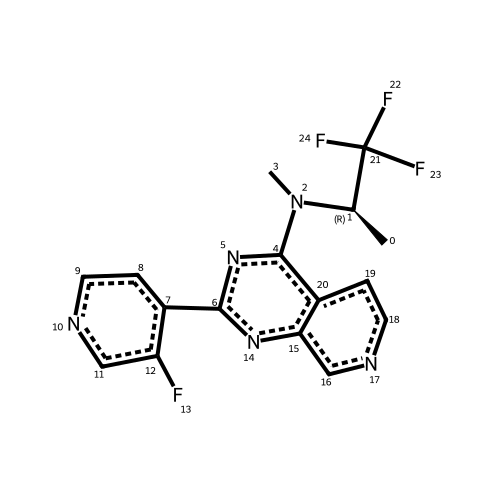 C[C@@H](N(C)c1nc(-c2ccncc2F)nc2cnccc12)C(F)(F)F